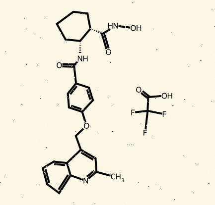 Cc1cc(COc2ccc(C(=O)N[C@@H]3CCCC[C@@H]3C(=O)NO)cc2)c2ccccc2n1.O=C(O)C(F)(F)F